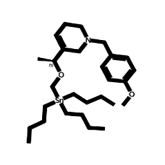 CCC[CH2][Sn]([CH2]CCC)([CH2]CCC)[CH2]O[C@@H](C)C1=CCCN(Cc2ccc(OC)cc2)C1